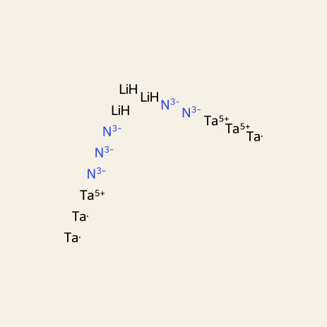 [LiH].[LiH].[LiH].[N-3].[N-3].[N-3].[N-3].[N-3].[Ta+5].[Ta+5].[Ta+5].[Ta].[Ta].[Ta]